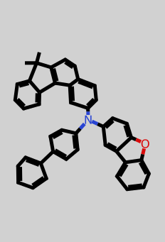 CC1(C)c2ccccc2-c2c1ccc1ccc(N(c3ccc(-c4ccccc4)cc3)c3ccc4oc5ccccc5c4c3)cc21